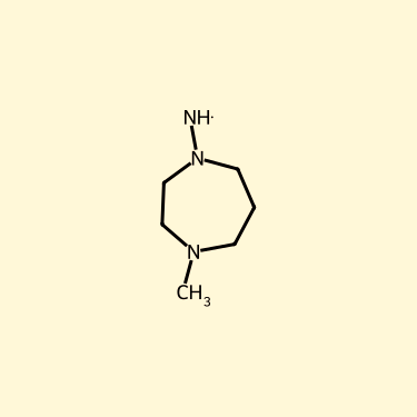 CN1CCCN([NH])CC1